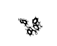 CN(C)C1(c2ccccc2)CCN(C(=O)C2CN(Cc3cccc4[nH]ccc34)c3ccccc32)CC1